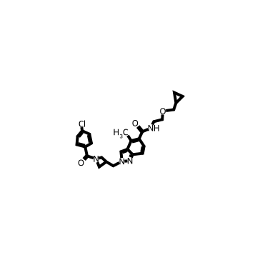 Cc1c(C(=O)NCCOCC2CC2)ccc2nn(CC3CN(C(=O)c4ccc(Cl)cc4)C3)cc12